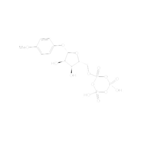 COc1ccc(O[C@@H]2O[C@H](COP3(=O)OP(=O)(O)OP(=O)(O)O3)[C@@H](O)[C@H]2O)cc1